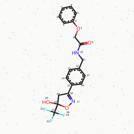 O=C(COc1ccccc1)NCc1ccc(C2=NOC(O)(C(F)(F)F)C2)cc1